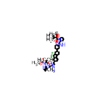 COC(=O)NC(C(=O)N(Cc1nc(-c2ccc3c(c2)C(F)(F)c2cc(-c4ccc5nc(C6CC=CCN6C(=O)C(OC)C(C)C)[nH]c5c4)ccc2-3)c[nH]1)CC1(C)CC1)C(C)C